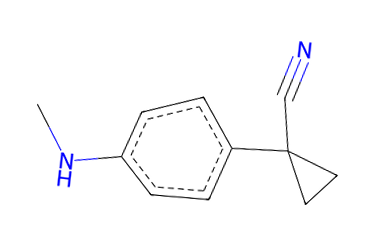 CNc1ccc(C2(C#N)CC2)cc1